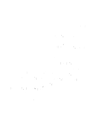 CCCC(=O)N(C)[C@H](C)C(=O)N(C)[C@@H](CC(C)C)C(=O)NC(=O)N(C)C(=O)NC(=O)N[C@@H](C)C(=O)N(C)[C@@H](CC(C)C)C(=O)NC